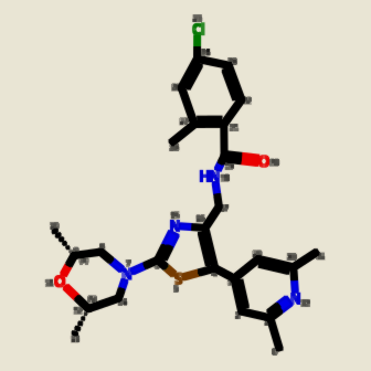 Cc1cc(-c2sc(N3C[C@@H](C)O[C@@H](C)C3)nc2CNC(=O)c2ccc(Cl)cc2C)cc(C)n1